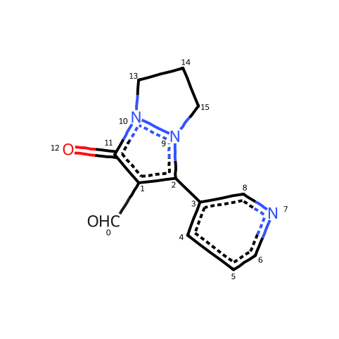 O=Cc1c(-c2cccnc2)n2n(c1=O)CCC2